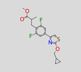 COC(=O)C(C)Cc1c(F)cc(-c2csc(OCC3CC3)n2)cc1F